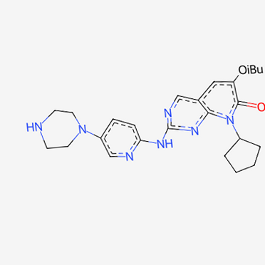 CC(C)COc1cc2cnc(Nc3ccc(N4CCNCC4)cn3)nc2n(C2CCCC2)c1=O